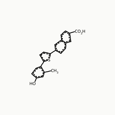 Cc1cc(O)ccc1-c1ccc(-c2ccc3cc(C(=O)O)ccc3c2)s1